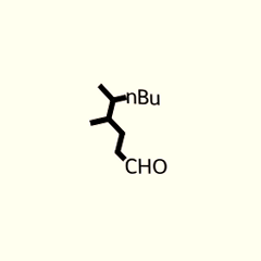 CCCCC(C)C(C)CCC=O